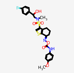 COc1ccc(NC(=O)ON=C2CCCc3c(S(=O)(=O)N(C)CC(O)c4ccc(F)cc4)csc32)cc1